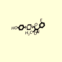 Cc1onc(-c2cccc(F)c2)c1C(=O)N1CCN(c2ccc(O)cc2)CC1